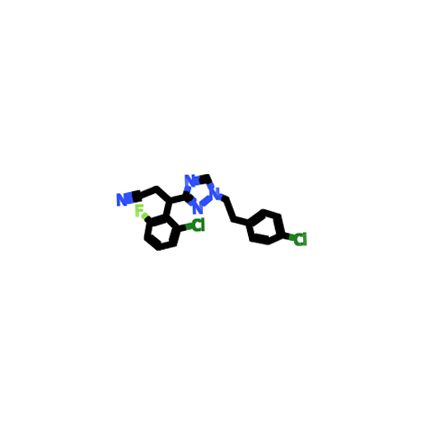 N#CCC(c1ncn(CCc2ccc(Cl)cc2)n1)c1c(F)cccc1Cl